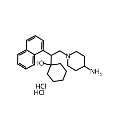 Cl.Cl.NC1CCN(CC(c2cccc3ccccc23)C2(O)CCCCC2)CC1